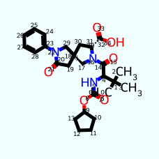 CC(C)(C)C(NC(=O)OC1CCCC1)C(=O)N1C[C@]2(CC(=O)N(c3ccccc3)C2)C[C@@H]1C(=O)O